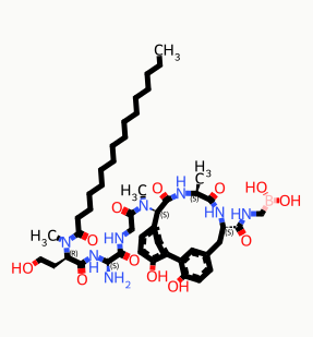 CCCCCCCCCCCCCCCC(=O)N(C)[C@H](CCO)C(=O)N[C@H](N)C(=O)NCC(=O)N(C)[C@@H]1C(=O)N[C@@H](C)C(=O)N[C@H](C(=O)NCB(O)O)Cc2ccc(O)c(c2)-c2cc1ccc2O